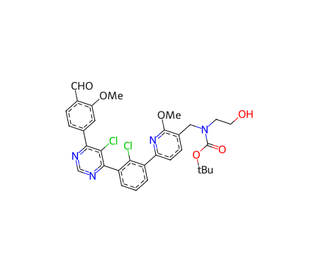 COc1cc(-c2ncnc(-c3cccc(-c4ccc(CN(CCO)C(=O)OC(C)(C)C)c(OC)n4)c3Cl)c2Cl)ccc1C=O